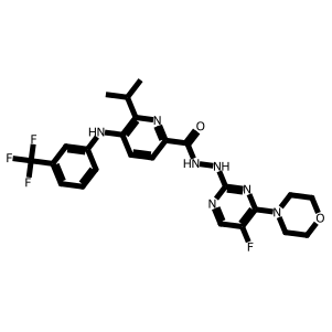 CC(C)c1nc(C(=O)NNc2ncc(F)c(N3CCOCC3)n2)ccc1Nc1cccc(C(F)(F)F)c1